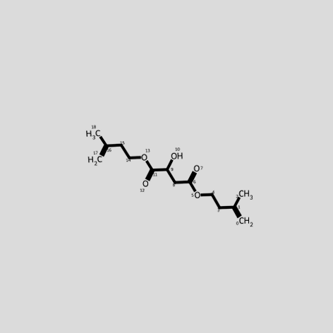 C=C(C)CCOC(=O)CC(O)C(=O)OCCC(=C)C